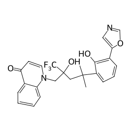 CC(C)(CC(O)(Cn1ccc(=O)c2ccccc21)C(F)(F)F)c1cccc(-c2cnco2)c1O